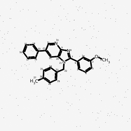 COc1cccc(-c2nc3ncc(-c4ccccc4)cc3n2Cc2ccc(C)cc2)c1